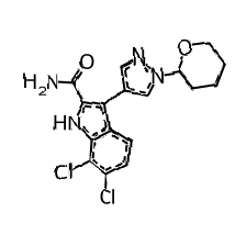 NC(=O)c1[nH]c2c(Cl)c(Cl)ccc2c1-c1cnn(C2CCCCO2)c1